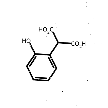 O=C(O)C(C(=O)O)c1ccccc1O